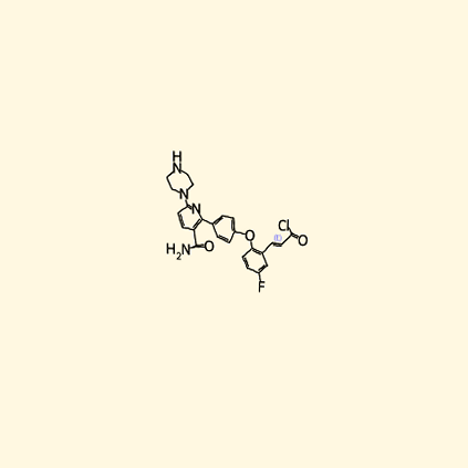 NC(=O)c1ccc(N2CCNCC2)nc1-c1ccc(Oc2ccc(F)cc2/C=C/C(=O)Cl)cc1